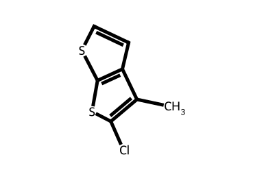 Cc1c(Cl)sc2sccc12